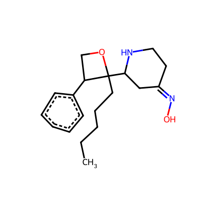 CCCCCC1(C2CC(=NO)CCN2)OCC1c1ccccc1